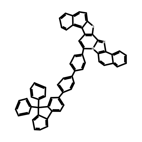 c1ccc(C2(c3ccccc3)c3ccccc3-c3ccc(-c4ccc(-c5ccc(-c6cc7c(sc8ccc9ccccc9c87)c7nc8c9ccccc9ccc8n67)cc5)cc4)cc32)cc1